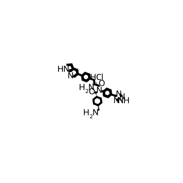 Cl.NC[C@H]1CC[C@H](C(=O)N(C(=O)[C@@H](N)Cc2ccc(-c3cnc4[nH]ccc4c3)cc2)c2ccc(-c3nn[nH]n3)cc2)CC1